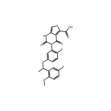 COc1ccc(F)cc1C(C)Oc1ccc(F)c(-n2c(=O)[nH]c3csc(C(=O)O)c3c2=O)c1